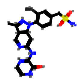 COc1cc(CS(N)(=O)=O)ccc1-n1nc(C)c2cnc(Nc3ncc[nH]c3=O)cc21